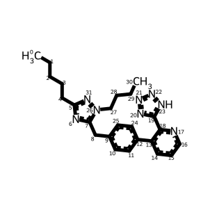 CCCCCc1nc(Cc2ccc(-c3cccnc3-c3nnn[nH]3)cc2)n(CCCC)n1